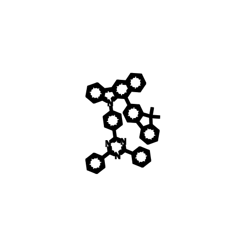 CC1(C)c2ccccc2-c2ccc(-c3c4ccccc4cc4c5ccccc5n(-c5ccc(-c6nc(-c7ccccc7)nc(-c7ccccc7)n6)cc5)c34)cc21